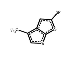 Cc1csc2sc(Br)cc12